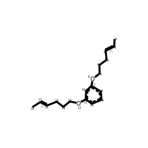 C/C=C/CCCOc1cccc(OCCC/C=C/C)c1